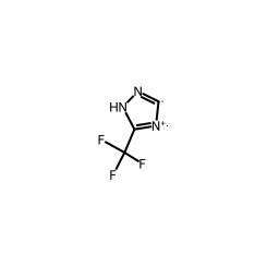 FC(F)(F)C1=[N+][C]=NN1